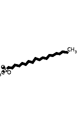 CCCCCCCCCCCCCCCCCC[CH]S(C)(=O)=O